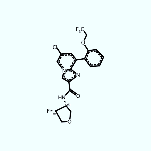 O=C(N[C@@H]1COC[C@@H]1F)c1cn2cc(Cl)cc(-c3ccccc3OCC(F)(F)F)c2n1